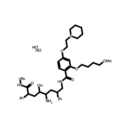 CCCCNC(=O)C(CC(O)C(N)CC(CNC(=O)c1ccc(OCCN2CCCCC2)cc1OCCCCOC)C(C)C)C(C)C.Cl.Cl